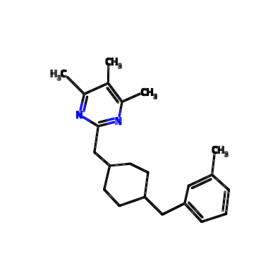 Cc1cccc(CC2CCC(Cc3nc(C)c(C)c(C)n3)CC2)c1